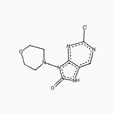 O=c1[nH]c2cnc(Cl)nc2n1N1CCOCC1